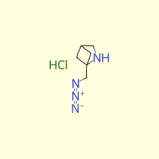 Cl.[N-]=[N+]=NCC12CC(CN1)C2